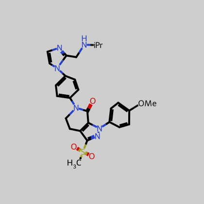 COc1ccc(-n2nc(S(C)(=O)=O)c3c2C(=O)N(c2ccc(-n4ccnc4CNC(C)C)cc2)CC3)cc1